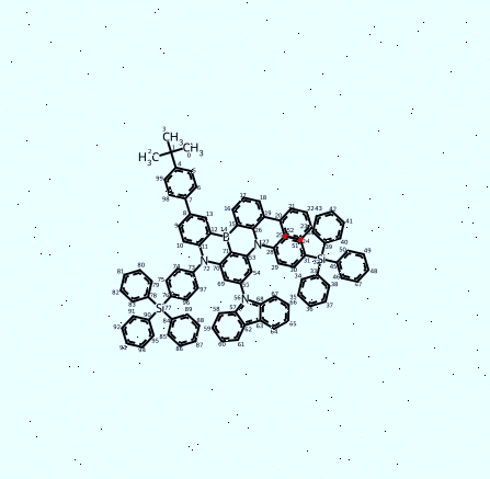 CC(C)(C)c1ccc(-c2ccc3c(c2)B2c4cccc(-c5ccccc5)c4N(c4ccc([Si](c5ccccc5)(c5ccccc5)c5ccccc5)cc4)c4cc(-n5c6ccccc6c6ccccc65)cc(c42)N3c2ccc([Si](c3ccccc3)(c3ccccc3)c3ccccc3)cc2)cc1